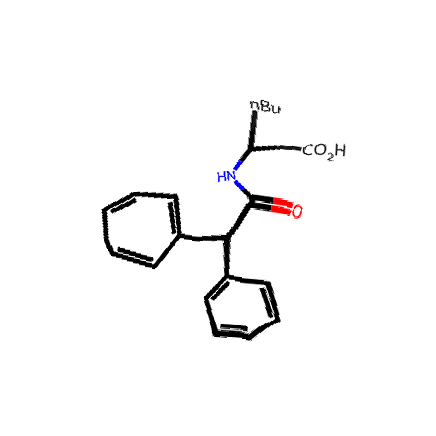 CCCCC(NC(=O)C(c1ccccc1)c1ccccc1)C(=O)O